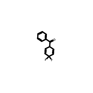 O=C(c1ccccc1)C1C=CC(F)(F)C=C1